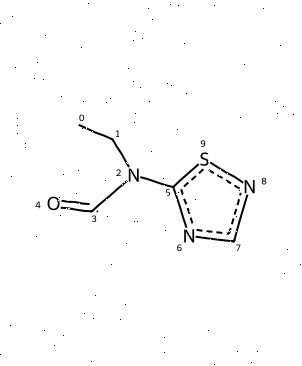 CCN([C]=O)c1ncns1